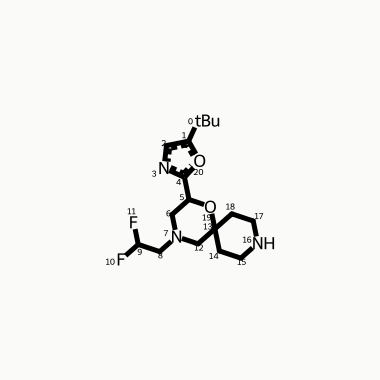 CC(C)(C)c1cnc(C2CN(CC(F)F)CC3(CCNCC3)O2)o1